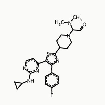 CN(C)C(C=O)N1CCC(c2nc(-c3ccc(F)cc3)c(-c3ccnc(NC4CC4)n3)s2)CC1